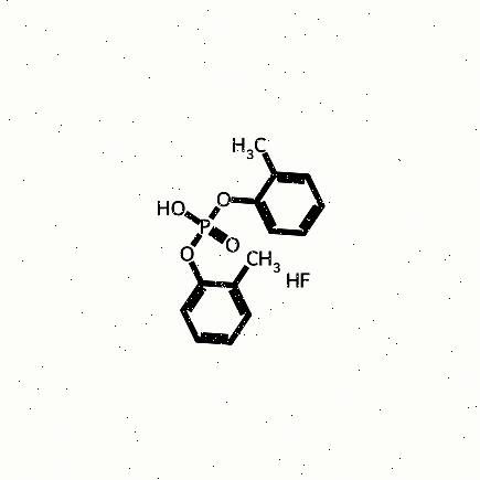 Cc1ccccc1OP(=O)(O)Oc1ccccc1C.F